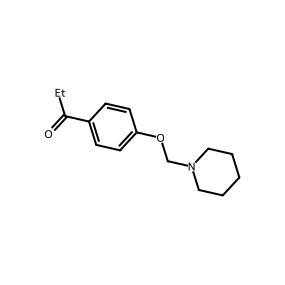 CCC(=O)c1ccc(OCN2CCCCC2)cc1